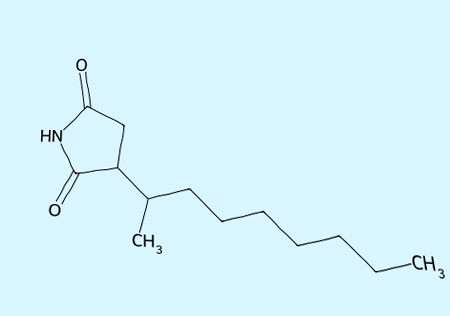 CCCCCCCC(C)C1CC(=O)NC1=O